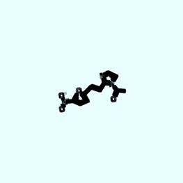 CC(=O)n1ccnc1C=Cc1ccc([N+](=O)[O-])o1